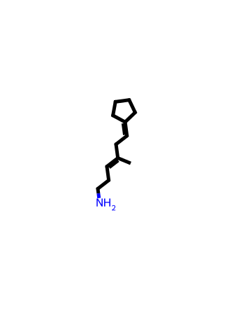 C/C(=C\CCN)CC=C1CCCC1